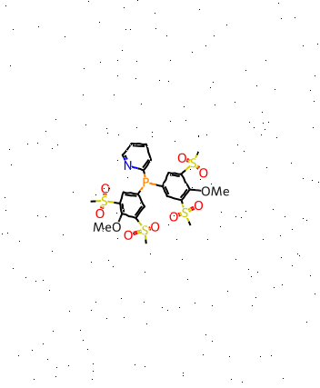 COc1c(S(C)(=O)=O)cc(P(c2cc(S(C)(=O)=O)c(OC)c(S(C)(=O)=O)c2)c2ccccn2)cc1S(C)(=O)=O